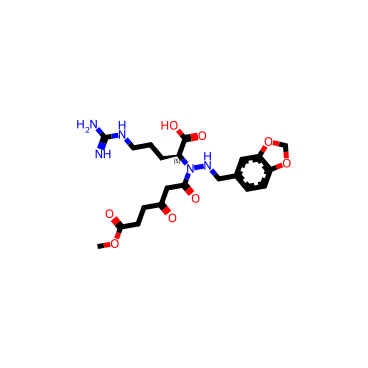 COC(=O)CCC(=O)CC(=O)N(NCc1ccc2c(c1)OCO2)[C@@H](CCCNC(=N)N)C(=O)O